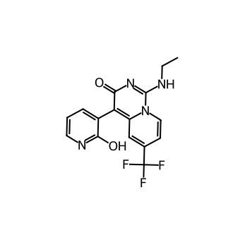 CCNc1nc(=O)c(-c2cccnc2O)c2cc(C(F)(F)F)ccn12